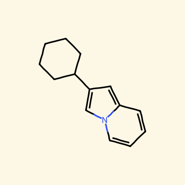 c1ccn2cc(C3CCCCC3)cc2c1